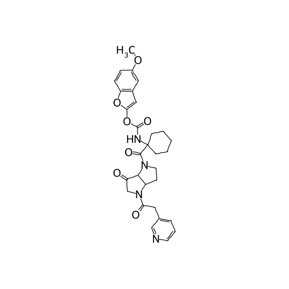 COc1ccc2oc(OC(=O)NC3(C(=O)N4CCC5C4C(=O)CN5C(=O)Cc4cccnc4)CCCCC3)cc2c1